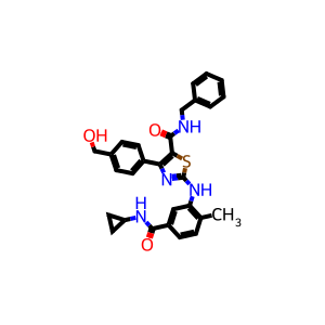 Cc1ccc(C(=O)NC2CC2)cc1Nc1nc(-c2ccc(CO)cc2)c(C(=O)NCc2ccccc2)s1